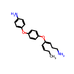 CC/C=C\C(=C/CCN)Oc1ccc(Oc2ccc(N)cc2)cc1